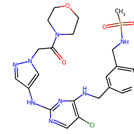 CS(=O)(=O)NCc1cccc(CNc2nc(Nc3cnn(CC(=O)N4CCOCC4)c3)ncc2Cl)c1